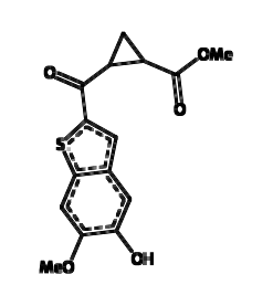 COC(=O)C1CC1C(=O)c1cc2cc(O)c(OC)cc2s1